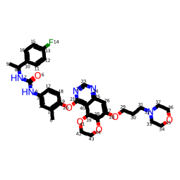 Cc1cc(NC(=O)NC(C)c2ccc(F)cc2)ccc1Oc1ncnc2cc(OCCCN3CCOCC3)c3c(c12)OCCO3